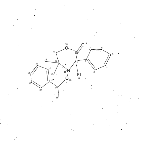 CCC1(c2ccccc2)C(=O)OCC(C)(C)N1OC(C)c1ccccc1